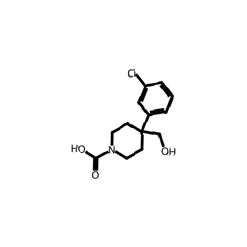 O=C(O)N1CCC(CO)(c2cccc(Cl)c2)CC1